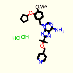 COc1ccc(Cn2cnc(N)c3nc(C(C)(C)OCc4ccncc4)nc2-3)cc1OC1CCCC1.Cl.Cl